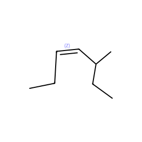 CC/C=C\C(C)CC